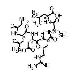 CC(C)C[C@H](NC(=O)[C@H](CS)NC(=O)[C@H](CCCNC(=N)N)NC(=O)[C@H](CC(=O)O)NC(=O)[C@H](CC(N)=O)NC(=O)CN)C(=O)O